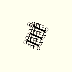 O=C([O-])C(F)(F)C(F)(F)C(F)(F)C(=O)[O-].O=C([O-])C(F)(F)C(F)(F)C(F)(F)C(=O)[O-].O=C([O-])C(F)(F)C(F)(F)C(F)(F)C(=O)[O-].[Ga+3].[Ga+3]